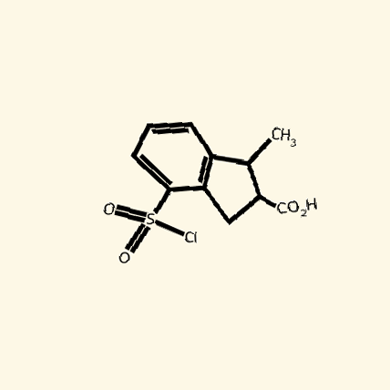 CC1c2cccc(S(=O)(=O)Cl)c2CC1C(=O)O